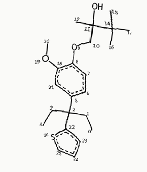 CCC(CC)(c1ccc(OCC(C)(O)C(C)(C)C)c(OC)c1)c1cccs1